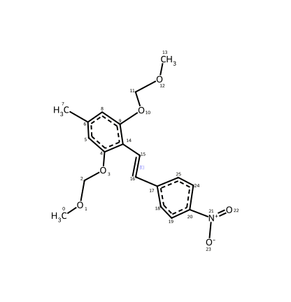 COCOc1cc(C)cc(OCOC)c1/C=C/c1ccc([N+](=O)[O-])cc1